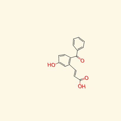 O=C(O)C=Cc1cc(O)ccc1C(=O)c1ccccc1